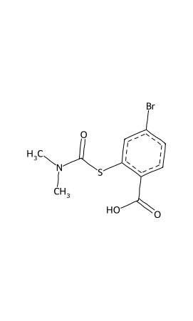 CN(C)C(=O)Sc1cc(Br)ccc1C(=O)O